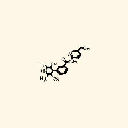 CC1=C(C#N)C(c2cccc(C(=O)Nc3ccc(CO)cn3)c2)C(C#N)=C(C)N1